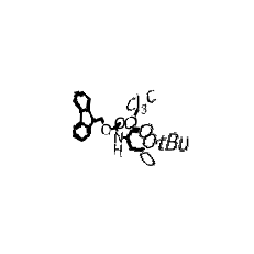 CC(C)(C)OC(=O)CC(NC(=O)OCC1c2ccccc2-c2ccccc21)C(=O)OCC(Cl)(Cl)Cl